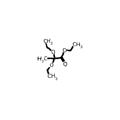 CCOC(=O)C(C)(OCC)OCC